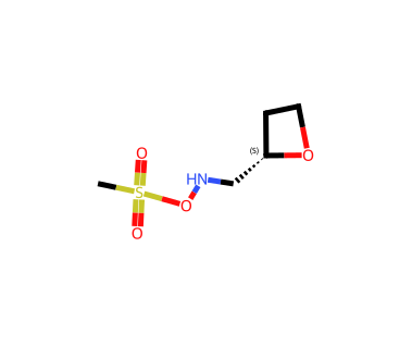 CS(=O)(=O)ONC[C@@H]1CCO1